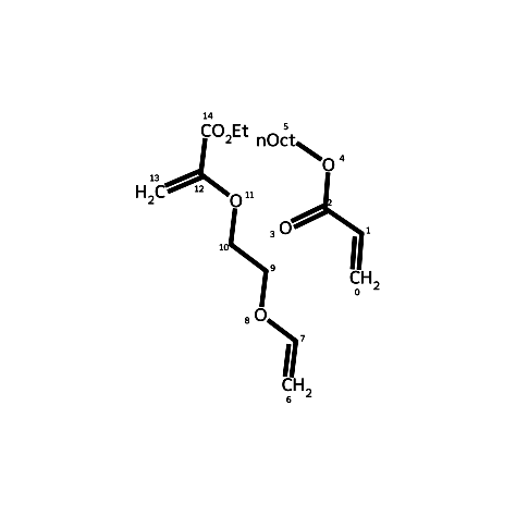 C=CC(=O)OCCCCCCCC.C=COCCOC(=C)C(=O)OCC